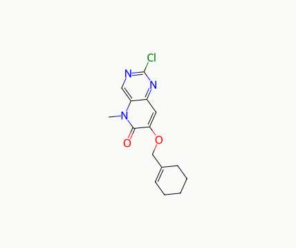 Cn1c(=O)c(OCC2=CCCCC2)cc2nc(Cl)ncc21